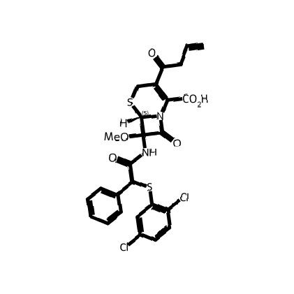 C=CCC(=O)C1=C(C(=O)O)N2C(=O)C(NC(=O)C(Sc3cc(Cl)ccc3Cl)c3ccccc3)(OC)[C@@H]2SC1